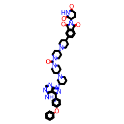 Nc1ncnc2c1c(-c1ccc(Oc3ccccc3)cc1)nn2C1CCCN(C2CCN(C(=O)N3CCC(N4CCC(c5ccc6c(c5)C(=O)N(C5CCC(=O)NC5=O)C6=O)CC4)CC3)CC2)C1